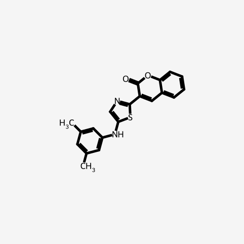 Cc1cc(C)cc(Nc2cnc(-c3cc4ccccc4oc3=O)s2)c1